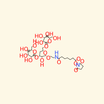 O=C(CCCCCC(=O)ON1C(=O)CCC1=O)NCCOC1OC(CO[C@H]2OC(CO)[C@@H](O)C(O)C2O)CC(O[C@H]2OC(CO)[C@@H](O)C(O)C2O)C1O